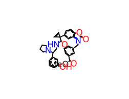 COC(=O)c1cccc(Cn2c(=O)oc3ccc(C4(C(=O)NCC(c5cccc(O)c5)N5CCCC5)C=C4)cc32)c1